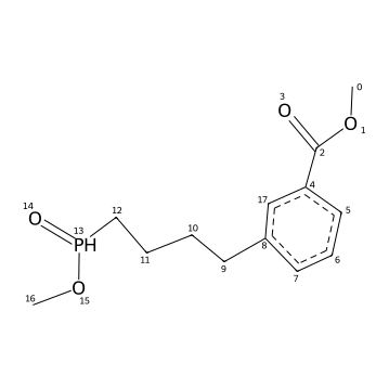 COC(=O)c1cccc(CCCC[PH](=O)OC)c1